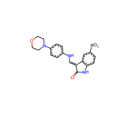 O=C1Nc2ccc([N+](=O)[O-])cc2C1=CNc1ccc(N2CCOCC2)cc1